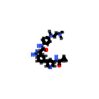 C=C(/C=C\C(=C/C)NC(=O)c1n[nH]c2ccc(-c3cncc(NC(=O)C4CC4)c3)cc12)N(C)CCN(C)C